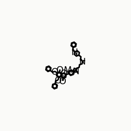 COc1c(OCc2ccccc2)cc(OCc2ccccc2)c2c(=O)cc(-c3ccc(N(C)CCCCN(C)CCC4CCN(Cc5ccccc5)CC4)cc3)oc12